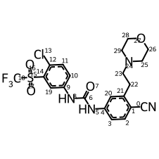 N#Cc1ccc(NC(=O)Nc2ccc(Cl)c(S(=O)(=O)C(F)(F)F)c2)cc1CCN1CCOCC1